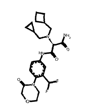 NC(=O)[C@@H](C(=O)Nc1ccc(N2CCOCC2=O)c(C(F)F)c1)N(CC1CCC1)CC1CC1